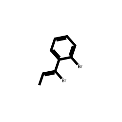 CC=C(Br)c1ccccc1Br